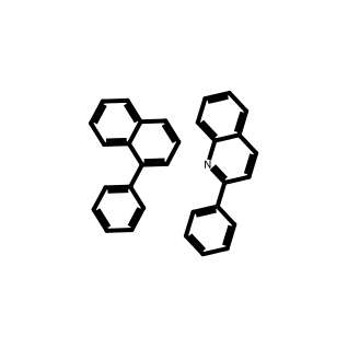 c1ccc(-c2ccc3ccccc3n2)cc1.c1ccc(-c2cccc3ccccc23)cc1